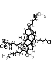 CCCCO[C@@H]1C[C@@H]2C[C@H](OCCCNC)CC[C@]2(C)C2C[C@H](OCCCNCS(=O)(=O)O)[C@]3(C)[C@@H]([C@H](C)CCCNCC)CC[C@H]3C21